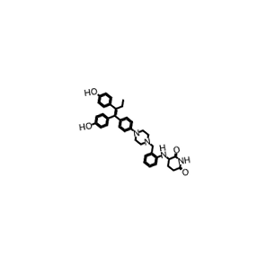 CCC(=C(c1ccc(O)cc1)c1ccc(N2CCN(Cc3ccccc3NC3CCC(=O)NC3=O)CC2)cc1)c1ccc(O)cc1